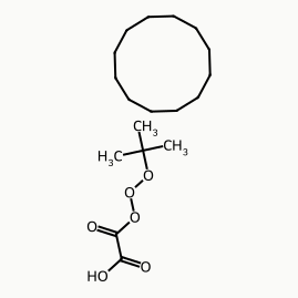 C1CCCCCCCCCCC1.CC(C)(C)OOOC(=O)C(=O)O